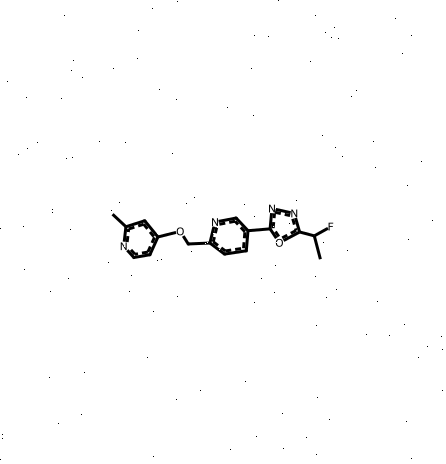 Cc1cc(OCc2ccc(-c3nnc(C(C)F)o3)cn2)ccn1